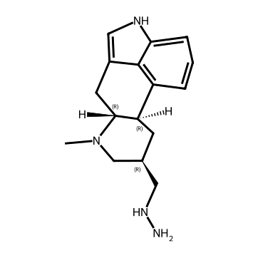 CN1C[C@H](CNN)C[C@@H]2c3cccc4[nH]cc(c34)C[C@H]21